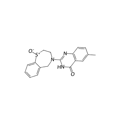 Cc1ccc2nc(N3CC[S+]([O-])c4ccccc4C3)[nH]c(=O)c2c1